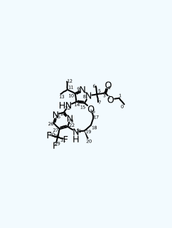 CCOC(=O)C(C)(C)n1nc(C(C)C)c2c1OCC[C@@H](C)Nc1nc(ncc1C(F)(F)F)N2